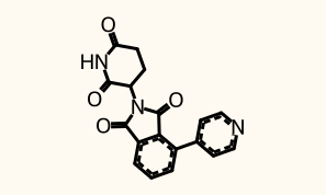 O=C1CCC(N2C(=O)c3cccc(-c4ccncc4)c3C2=O)C(=O)N1